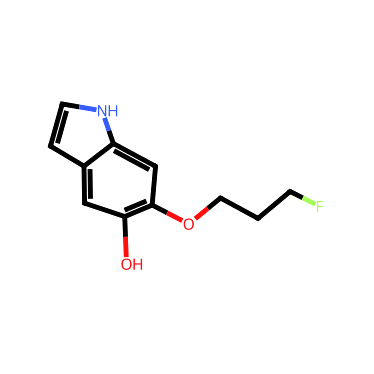 Oc1cc2cc[nH]c2cc1OCCCF